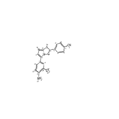 N#Cc1ccc(-c2nn3c(-c4cnc(N)c(C(F)(F)F)c4)cnc3s2)cc1